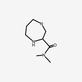 CN(C)C(=O)C1C[N]CCCN1